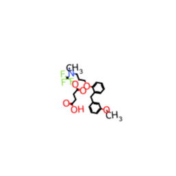 COc1cccc(Cc2ccccc2OCC(CN(C)C(F)(F)F)OC(=O)CCC(=O)O)c1